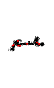 CC1NCSC1c1ccc(CNC(=O)[C@@H]2C[C@@H](O)CN2C(=O)[C@@H](NC(=O)COCCOCCNC(=O)CCCOC[C@H](NC(=O)C2CCN(S(C)(=O)=O)C2)C(=O)NC2NC(c3ccccc3)CS2)C(C)(C)C)cc1